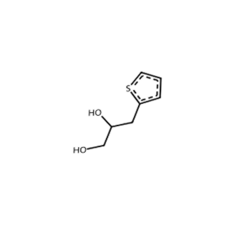 OCC(O)Cc1cccs1